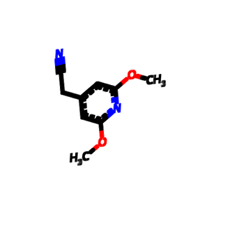 COc1cc(CC#N)cc(OC)n1